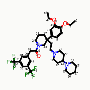 CCOc1ccc(C2(CCN3CCC(N4CCCCC4)CC3)CCCN(C(=O)Cc3cc(C(F)(F)F)cc(C(F)(F)F)c3)C2)cc1OCC